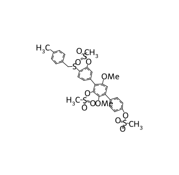 COc1cc(-c2ccc(OS(C)(=O)=O)cc2)c(OC)c(OS(C)(=O)=O)c1-c1ccc(SCc2ccc(C)cc2)c(OS(C)(=O)=O)c1